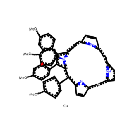 COc1ccc(-c2c(-c3ccc(OC)cc3)c3c(-c4ccc(OC)cc4)c4nc(cc5ccc(cc6nc(cc2n3-c2ccc(OC)cc2)C=C6)[nH]5)C=C4)cc1.[Cu]